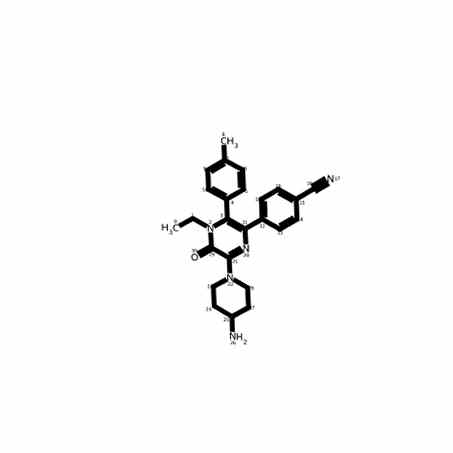 CCn1c(-c2ccc(C)cc2)c(-c2ccc(C#N)cc2)nc(N2CCC(N)CC2)c1=O